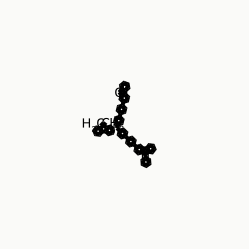 CC1(C)c2ccccc2-c2ccc(N(c3ccc(-c4ccc(-c5ccc6c(c5)oc5ccccc56)cc4)cc3)c3ccc(-c4ccc(-c5ccc6c(c5)c5ccccc5n6-c5ccccc5)cc4)cc3)cc21